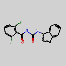 O=C(NC(=O)c1c(F)cccc1F)NC1CCc2ccccc21